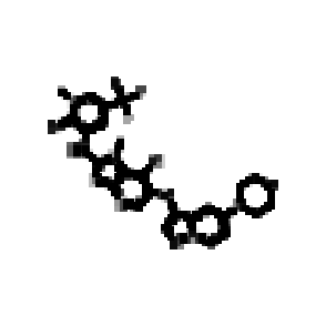 Cn1cc(C(F)(F)F)cc(Nc2nc3ncc(Oc4cnn5ccc(N6CCOCC6)cc45)c(Cl)c3n2C)c1=O